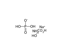 N.O=C(O)O.O=P([O-])(O)O.[Na+]